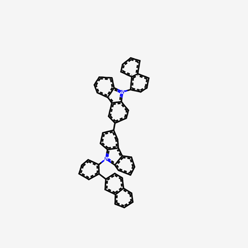 c1ccc(-n2c3ccccc3c3cc(-c4ccc5c(c4)c4ccccc4n5-c4cccc5ccccc45)ccc32)c(-c2ccc3ccccc3c2)c1